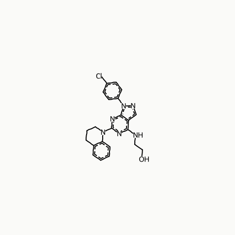 OCCNc1nc(N2CCCc3ccccc32)nc2c1cnn2-c1ccc(Cl)cc1